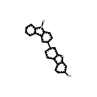 CCCc1ccc2c(c1)oc1cc(-c3ccc4c(c3)c3ccccc3n4CC)ccc12